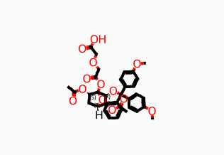 COc1ccc(C(O[C@@H]2[C@H](OC(C)=O)[C@H]3C[C@H](OC(C)=O)C2(OC(=O)COCC(=O)O)O3)(c2ccccc2)c2ccc(OC)cc2)cc1